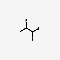 CC(F)C(F)I